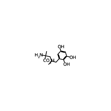 CC(Cc1cc(O)cc(O)c1O)CC(C)(N)C(=O)O